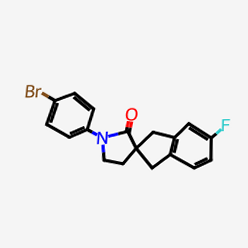 O=C1N(c2ccc(Br)cc2)CCC12Cc1ccc(F)cc1C2